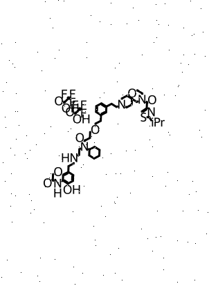 CC(C)c1nc(C(=O)N2CCOC3(CCN(CCc4cccc(CCOCCC(=O)N(CCNCCc5ccc(O)c6c5OCC(=O)N6)C5CCCCC5)c4)CC3)C2)cs1.O=C(O)C(F)(F)F.O=C(O)C(F)(F)F